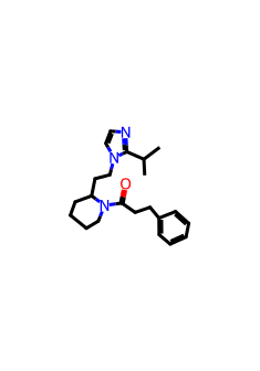 CC(C)c1nccn1CCC1CCCCN1C(=O)CCc1ccccc1